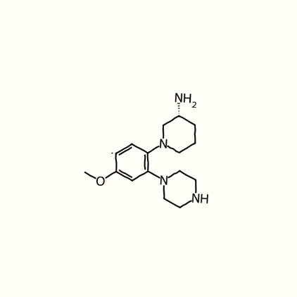 COc1[c]cc(N2CCC[C@@H](N)C2)c(N2CCNCC2)c1